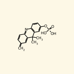 C=c1ccc2c(c1)C(C)(C)c1cc(OP(=O)(O)O)ccc1N=2